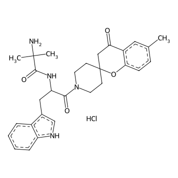 Cc1ccc2c(c1)C(=O)CC1(CCN(C(=O)C(Cc3c[nH]c4ccccc34)NC(=O)C(C)(C)N)CC1)O2.Cl